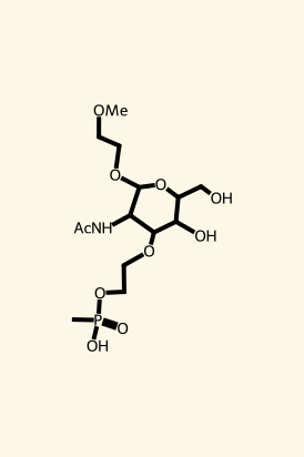 COCCOC1OC(CO)C(O)C(OCCOP(C)(=O)O)C1NC(C)=O